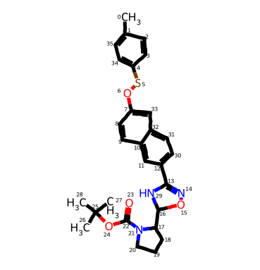 Cc1ccc(SOc2ccc3cc(C4=NOC(C5CCCN5C(=O)OC(C)(C)C)N4)ccc3c2)cc1